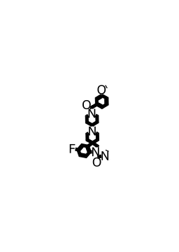 COc1cccc(C(=O)N2CCC(N3CCC4(CC3)CN(C(=O)N(C)C)c3ccc(F)cc34)CC2)c1